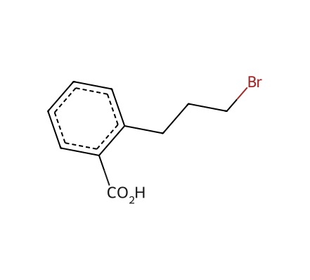 O=C(O)c1ccccc1CCCBr